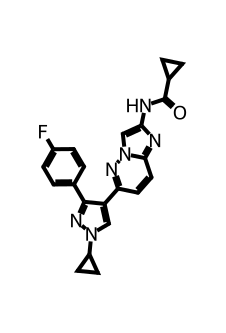 O=C(Nc1cn2nc(-c3cn(C4CC4)nc3-c3ccc(F)cc3)ccc2n1)C1CC1